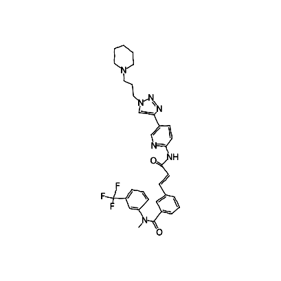 CN(C(=O)c1cccc(C=CC(=O)Nc2ccc(-c3cn(CCCN4CCCCC4)nn3)cn2)c1)c1cccc(C(F)(F)F)c1